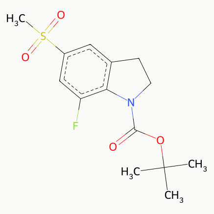 CC(C)(C)OC(=O)N1CCc2cc(S(C)(=O)=O)cc(F)c21